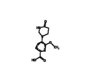 COc1cc(C(=O)O)ccc1N1CCC(=O)NC1